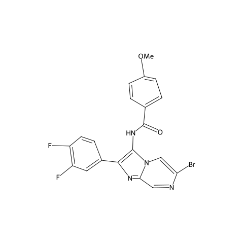 COc1ccc(C(=O)Nc2c(-c3ccc(F)c(F)c3)nc3cnc(Br)cn23)cc1